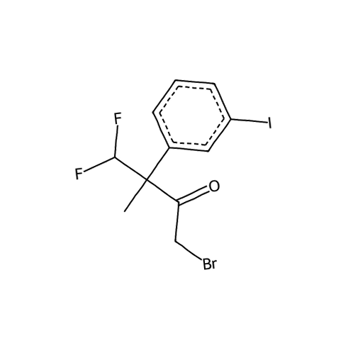 CC(C(=O)CBr)(c1cccc(I)c1)C(F)F